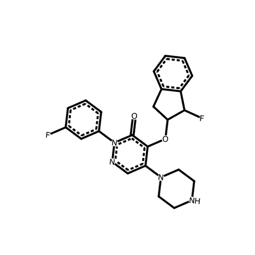 O=c1c(OC2Cc3ccccc3C2F)c(N2CCNCC2)cnn1-c1cccc(F)c1